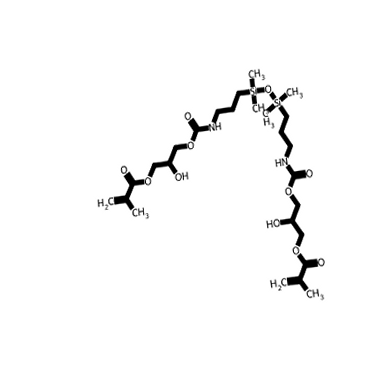 C=C(C)C(=O)OCC(O)COC(=O)NCCC[Si](C)(C)O[Si](C)(C)CCCNC(=O)OCC(O)COC(=O)C(=C)C